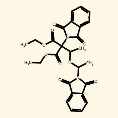 CCOC(=O)C(C(=O)OCC)(C(C)OC(C)N1C(=O)c2ccccc2C1=O)N1C(=O)c2ccccc2C1=O